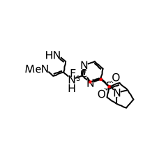 CN/C=C(\C=N)Nc1nccc(C2=CC3CCC(C2)N3S(=O)(=O)CCC(F)(F)F)n1